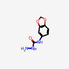 NNC(=O)Nc1ccc2c(c1)OCO2